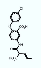 CC=CC(C(=O)O)C(=O)Nc1ccc(Oc2ccc(Cl)cc2)c(C(=O)O)c1